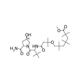 COC(=O)C(C)(C)CC(C)(C)CC(C)(C)COC(C)(C)CC(=O)NC(C(=O)N1C[C@H](O)CC1C(N)=O)C(C)(C)C